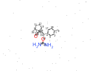 Cc1ccc(C=C2C(=O)C3(C)CCC2C3(C)C)cc1.NC(N)=O